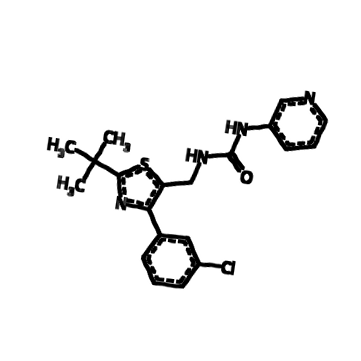 CC(C)(C)c1nc(-c2cccc(Cl)c2)c(CNC(=O)Nc2cccnc2)s1